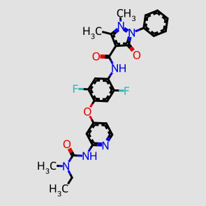 CCN(C)C(=O)Nc1cc(Oc2cc(F)c(NC(=O)c3c(C)n(C)n(-c4ccccc4)c3=O)cc2F)ccn1